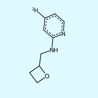 [2H]c1ccnc(NCC2CCO2)c1